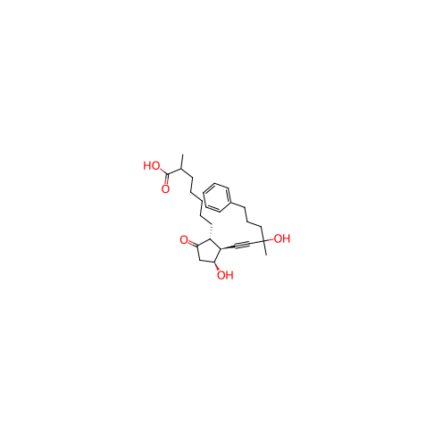 CC(CCCCC[C@H]1C(=O)C[C@H](O)[C@@H]1C#CC(C)(O)CCCc1ccccc1)C(=O)O